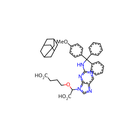 C1C2CC3CC1CC(C2)C3.COc1ccc(C(Nc2ncc3ncn(C(OCCCC(=O)O)C(=O)O)c3n2)(c2ccccc2)c2ccccc2)cc1